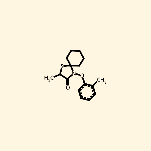 Cc1ccccc1ON1C(=O)C(C)SC12CCCCC2